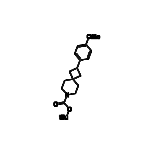 COc1ccc(C2CC3(CCN(C(=O)OC(C)(C)C)CC3)C2)cc1